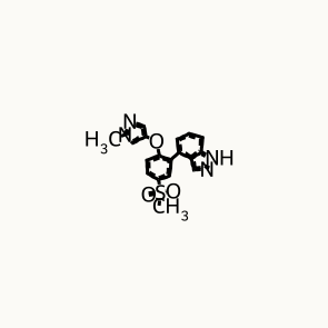 Cn1cc(Oc2ccc(S(C)(=O)=O)cc2-c2cccc3[nH]ncc23)cn1